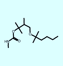 CCCCC(C)(C)OCC(C)C(C)(C)OC(=O)NC